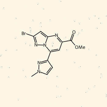 COC(=O)c1cc(-c2ccn(C)n2)n2nc(Br)cc2n1